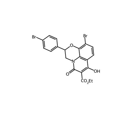 CCOC(=O)c1c(O)c2ccc(Br)c3c2n(c1=O)CC(c1ccc(Br)cc1)O3